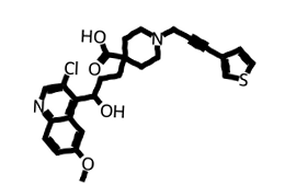 COc1ccc2ncc(Cl)c(C(O)CCC3(C(=O)O)CCN(CC#Cc4ccsc4)CC3)c2c1